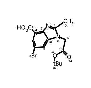 Cc1nc2c(C(=O)O)cc(Br)cc2n1CC(=O)OC(C)(C)C